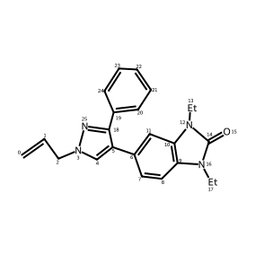 C=CCn1cc(-c2ccc3c(c2)n(CC)c(=O)n3CC)c(-c2ccccc2)n1